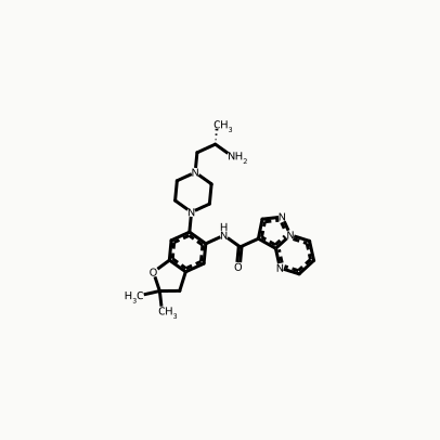 C[C@H](N)CN1CCN(c2cc3c(cc2NC(=O)c2cnn4cccnc24)CC(C)(C)O3)CC1